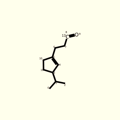 CC(C)C1C=C(CC[13CH]=O)CC1